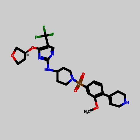 COc1cc(S(=O)(=O)N2CCC(Nc3ncc(C(F)(F)F)c(O[C@H]4CCOC4)n3)CC2)ccc1C1=CCNCC1